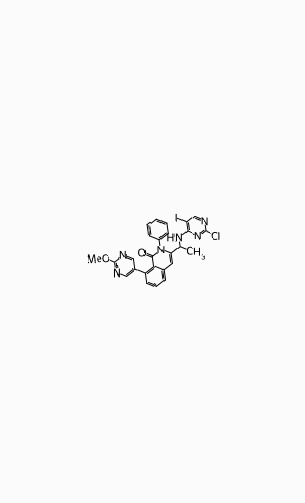 COc1ncc(-c2cccc3cc(C(C)Nc4nc(Cl)ncc4I)n(-c4ccccc4)c(=O)c23)cn1